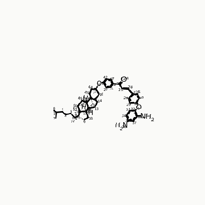 CC(C)CCC[C@@H](C)[C@H]1CC[C@H]2[C@@H]3CCC4CC(Oc5ccc(C(=O)C=Cc6ccc(Oc7ccc(N)cc7N)cc6)cc5)CC[C@]4(C)[C@H]3CC[C@]12C